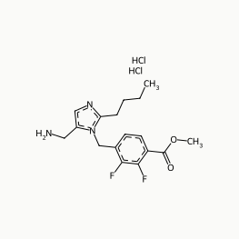 CCCCc1ncc(CN)n1Cc1ccc(C(=O)OC)c(F)c1F.Cl.Cl